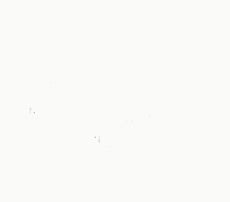 Cc1ccc(B(OC(=O)C(N)CCC(N)=O)c2ccc(C)cc2)cc1